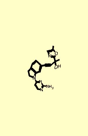 Cc1cnc(C(C)(O)C#Cc2ccc3c(c2)N(c2ccnc(N)n2)CC3)o1